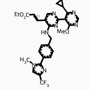 CCOC(=O)/C=C/c1cnc(-c2c(OC)ncnc2C2CC2)nc1NCc1ccc(-c2nc(C(F)(F)F)cn2C)cc1